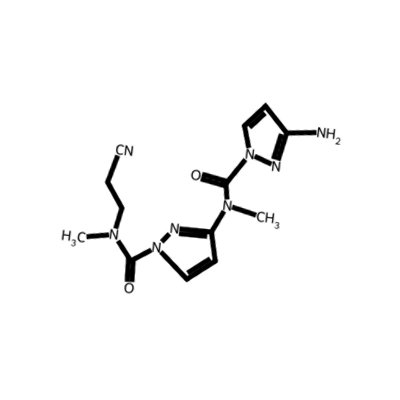 CN(CCC#N)C(=O)n1ccc(N(C)C(=O)n2ccc(N)n2)n1